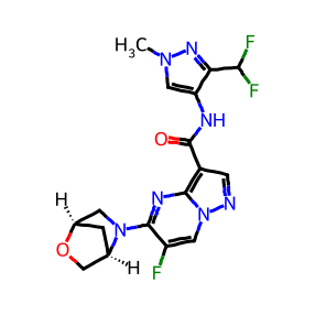 Cn1cc(NC(=O)c2cnn3cc(F)c(N4C[C@H]5C[C@@H]4CO5)nc23)c(C(F)F)n1